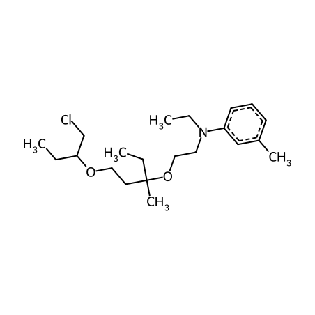 CCC(CCl)OCCC(C)(CC)OCCN(CC)c1cccc(C)c1